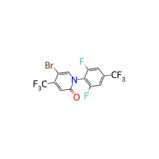 O=c1cc(C(F)(F)F)c(Br)cn1-c1c(F)cc(C(F)(F)F)cc1F